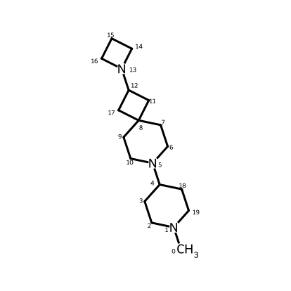 CN1CCC(N2CCC3(CC2)CC(N2CCC2)C3)CC1